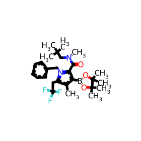 Cc1c(B2OC(C)(C)C(C)(C)O2)c(C(=O)N(C)CC(C)(C)C)n(Cc2ccccc2)c1CC(F)(F)F